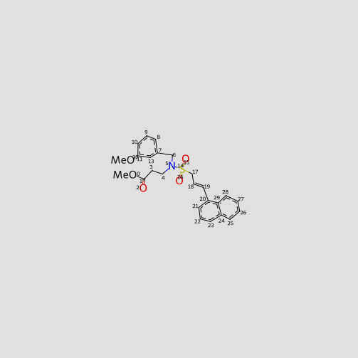 COC(=O)CCN(Cc1cccc(OC)c1)S(=O)(=O)CC=Cc1cccc2ccccc12